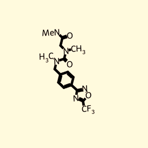 CNC(=O)CN(C)C(=O)N(C)Cc1ccc(-c2noc(C(F)(F)F)n2)cc1